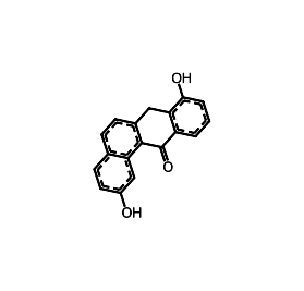 O=C1c2cccc(O)c2Cc2ccc3ccc(O)cc3c21